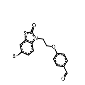 O=Cc1ccc(OCCn2c(=O)sc3cc(Br)ccc32)cc1